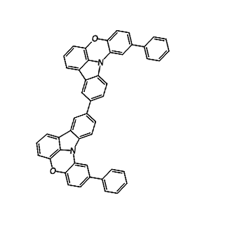 c1ccc(-c2ccc3c(c2)-n2c4ccc(-c5ccc6c(c5)c5cccc7c5n6-c5cc(-c6ccccc6)ccc5O7)cc4c4cccc(c42)O3)cc1